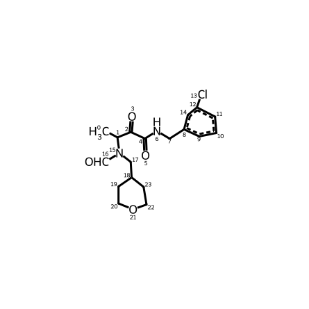 CC(C(=O)C(=O)NCc1cccc(Cl)c1)N(C=O)CC1CCOCC1